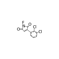 O=C1C=C(c2cccc(Cl)c2Cl)C(=O)N1F